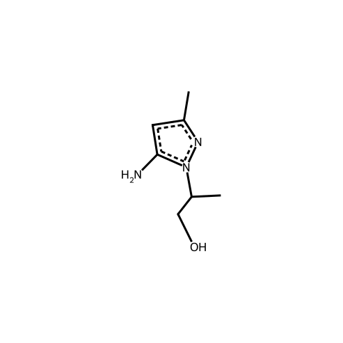 Cc1cc(N)n(C(C)CO)n1